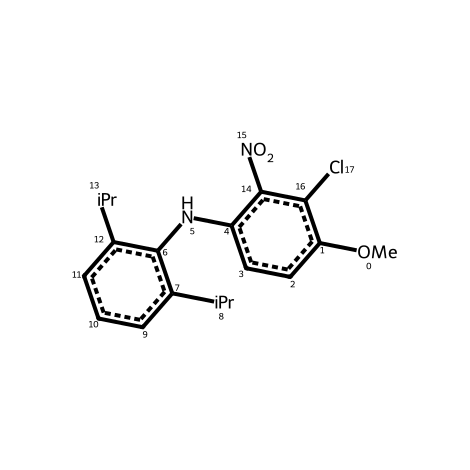 COc1ccc(Nc2c(C(C)C)cccc2C(C)C)c([N+](=O)[O-])c1Cl